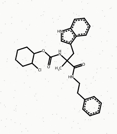 CC(Cc1c[nH]c2ccccc12)(NC(=O)OC1CCCCC1Cl)C(=O)NCCc1ccccc1